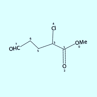 COC(=O)C(Cl)CCC=O